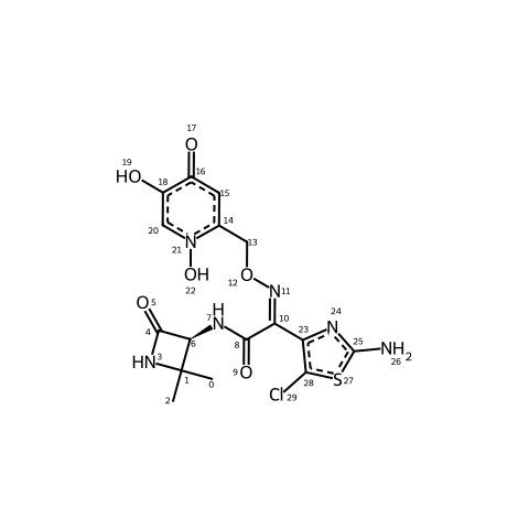 CC1(C)NC(=O)[C@H]1NC(=O)/C(=N\OCc1cc(=O)c(O)cn1O)c1nc(N)sc1Cl